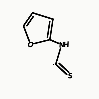 S=[C]Nc1ccco1